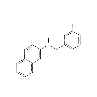 [O-][S+](Cc1cccc(Cl)c1)c1ccc2ccccc2c1